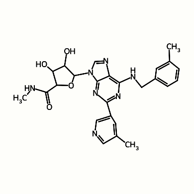 CNC(=O)C1OC(n2cnc3c(NCc4cccc(C)c4)nc(-c4cncc(C)c4)nc32)C(O)C1O